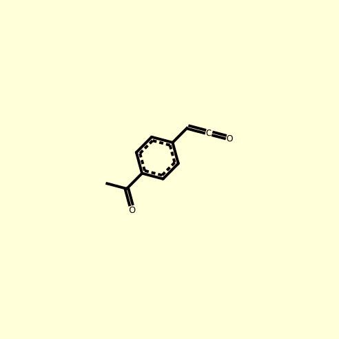 CC(=O)c1ccc(C=C=O)cc1